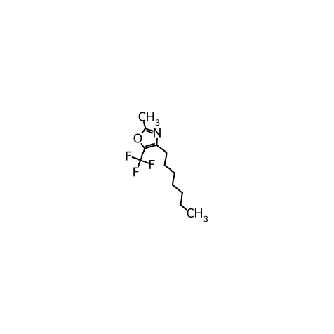 CCCCCCCc1nc(C)oc1C(F)(F)F